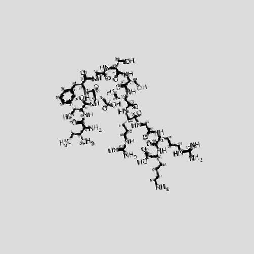 CC[C@H](C)[C@H](N)C(=O)N[C@@H](CS)C(=O)N[C@@H](CC(=O)O)C(=O)N[C@@H](Cc1ccccc1)C(=O)NCC(=O)N[C@@H](CO)C(=O)N[C@@H](CO)C(=O)N[C@@H](CS)C(=O)N[C@@H](CCCNC(=N)N)C(=O)NCC(=O)N[C@@H](CCCNC(=N)N)C(=O)N[C@@H](CCCCN)C(=O)O